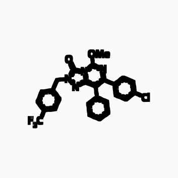 COc1nc(-c2ccc(Cl)cc2)c(-c2ccccc2)c2nn(Cc3ccc(C(F)(F)F)cc3)c(=O)n12